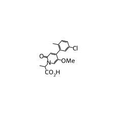 COc1cn(C(C)C(=O)O)c(=O)cc1-c1cc(Cl)ccc1C